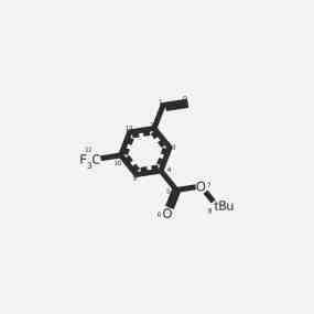 C=Cc1cc(C(=O)OC(C)(C)C)cc(C(F)(F)F)c1